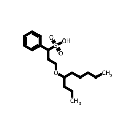 CCCCCC(CCC)OCCC(c1ccccc1)S(=O)(=O)O